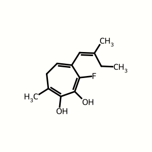 CC/C(C)=C\C1=CCC(C)=C(O)C(O)=C1F